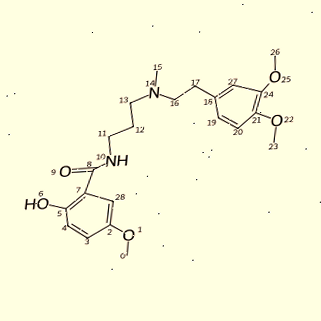 COc1ccc(O)c(C(=O)NCCCN(C)CCc2ccc(OC)c(OC)c2)c1